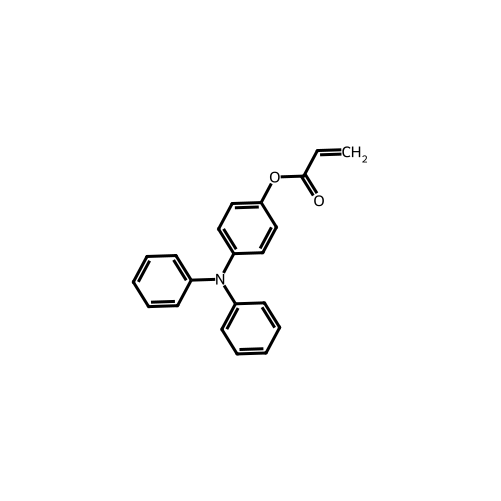 C=CC(=O)Oc1ccc(N(c2ccccc2)c2ccccc2)cc1